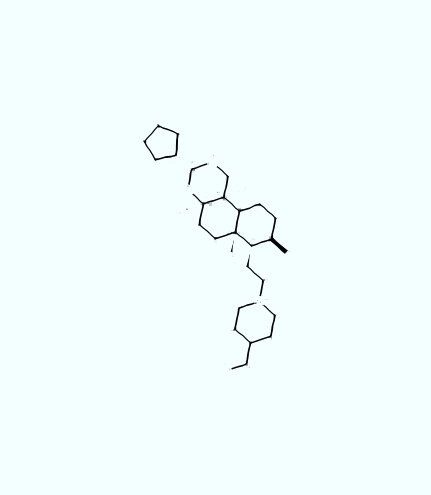 C=C1CCC2[C@]3(C)CO[C@@H](C4CCCC4)O[C@@H]3CC[C@@]2(C)[C@@H]1CCN1CCC(CO)CC1